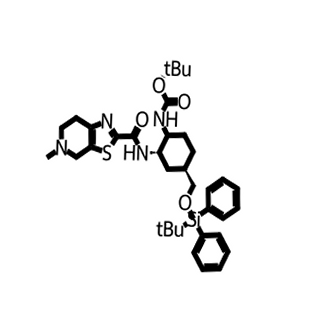 CN1CCc2nc(C(=O)N[C@H]3C[C@H](CO[Si](c4ccccc4)(c4ccccc4)C(C)(C)C)CCC3NC(=O)OC(C)(C)C)sc2C1